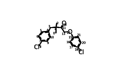 CC(C)(Cc1ccc(Cl)cc1)C(=O)COc1ccc(Cl)cc1